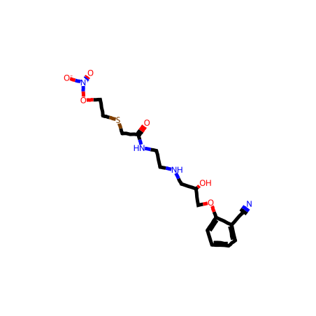 N#Cc1ccccc1OCC(O)CNCCNC(=O)CSCCO[N+](=O)[O-]